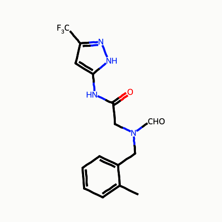 Cc1ccccc1CN(C=O)CC(=O)Nc1cc(C(F)(F)F)n[nH]1